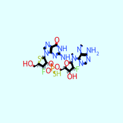 C=Nc1c(N)ncnc1N(C)[C@@H]1O[C@H](COP(=O)(S)O[C@@H]2[C@H](F)[C@@H](CO)S[C@H]2n2cnc3c(=O)[nH]c(N)nc32)[C@@H](O)[C@@H]1F